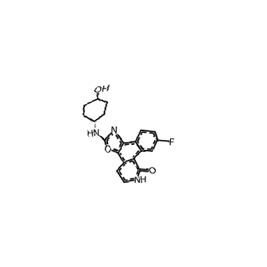 O=c1[nH]ccc2c3oc(N[C@H]4CC[C@H](O)CC4)nc3c3ccc(F)cc3c12